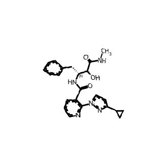 CNC(=O)C(O)[C@@H](Cc1ccccc1)NC(=O)c1cccnc1-n1ccc(C2CC2)n1